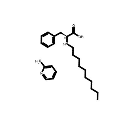 CCCCCCCCCCN[C@@H](Cc1ccccc1)C(=O)O.Nc1ccccn1